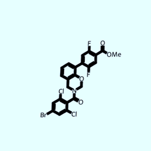 COC(=O)c1cc(F)c(-c2cccc3c2OCN(C(=O)c2c(Cl)cc(Br)cc2Cl)C3)cc1F